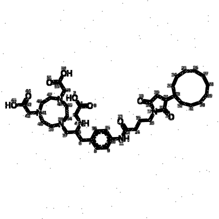 O=C(O)CNC(Cc1ccc(NC(=O)CCCN2C(=O)CC(C3CCCCCCCCCC3)C2=O)cc1)CN1CCN(CC(=O)O)CCN(CC(=O)O)CC1